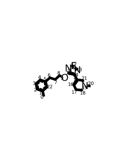 Cc1cccc(CCCOc2nsnc2C2=CCCN(C)C2)c1